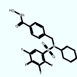 O=C(NO)c1ccc(CN(C2CCCCC2)S(=O)(=O)c2cc(F)c(F)c(F)c2F)cc1